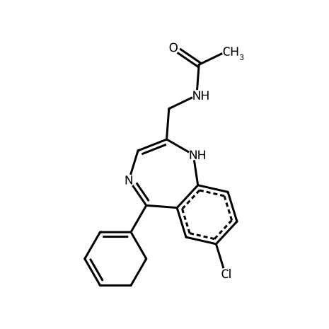 CC(=O)NCC1=CN=C(C2=CC=CCC2)c2cc(Cl)ccc2N1